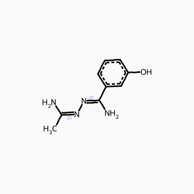 C/C(N)=N/N=C(\N)c1cccc(O)c1